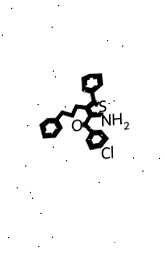 Nc1sc(-c2ccccc2)c(CCCc2ccccc2)c1C(=O)c1ccc(Cl)cc1